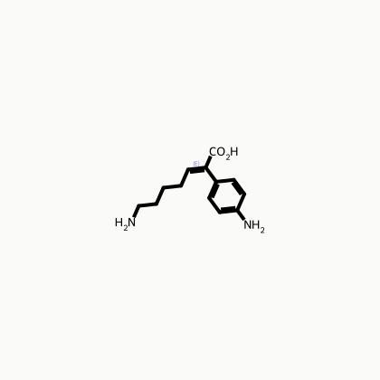 NCCCC/C=C(/C(=O)O)c1ccc(N)cc1